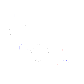 NS(=O)(=O)c1ccc(NN2CCNCC2)cc1